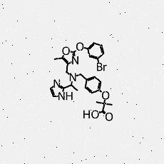 Cc1oc(Oc2cccc(Br)c2)nc1CN(Cc1ccc(OC(C)(C)C(=O)O)cc1)C(C)c1ncc[nH]1